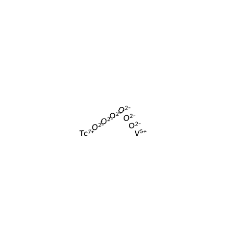 [O-2].[O-2].[O-2].[O-2].[O-2].[O-2].[Tc+7].[V+5]